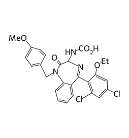 CCOc1cc(Cl)cc(Cl)c1C1=NC(NC(=O)O)C(=O)N(Cc2ccc(OC)cc2)c2ccccc21